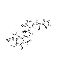 CN(C(=O)c1cnc2nc(-c3cc(NC(=O)c4ccco4)ccc3Cl)[nH]c2c1)c1nccn1C